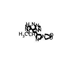 CC(C)n1nncc1-c1cc(-c2cncc(N3CCS(=O)(=O)CC3)c2)n2ncnc(N)c12